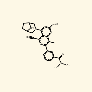 C#Cc1nc(-c2cccc(C(=O)N(C)C)c2)c(F)c2nc(OC)nc(N3CC4CCC(C3)N4)c12